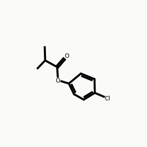 CC(C)C(=O)Oc1ccc(Cl)cc1